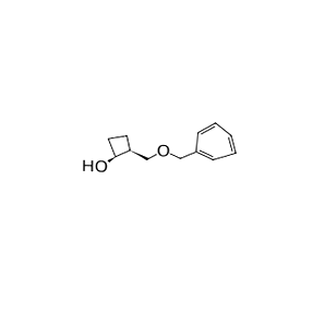 O[C@H]1CC[C@H]1COCc1ccccc1